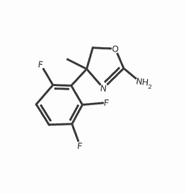 CC1(c2c(F)ccc(F)c2F)COC(N)=N1